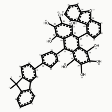 CC1(C)c2ccccc2-c2cc(-c3ccc(-c4c5c(O)c(O)c(O)c(O)c5c(-c5cccc6oc7ccccc7c56)c5c(O)c(O)c(O)c(O)c45)cc3)ccc21